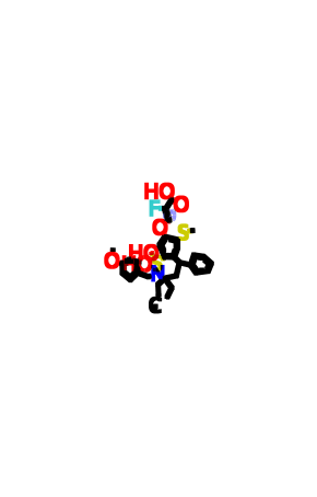 CCCCC1(CC)CC(c2ccccc2)c2cc(SC)c(O/C=C(\F)C(=O)O)cc2S(O)(O)N1Cc1ccc(OC)cc1